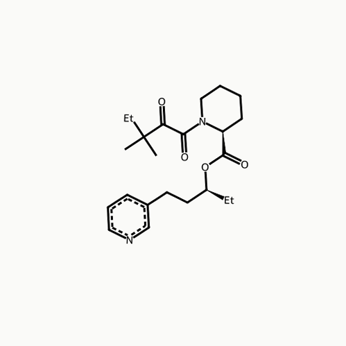 CC[C@@H](CCc1cccnc1)OC(=O)[C@@H]1CCCCN1C(=O)C(=O)C(C)(C)CC